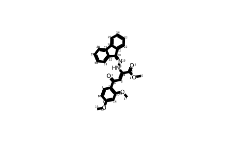 COC(=O)/C(=C/C(=O)c1ccc(OC)cc1OC)NN=C1c2ccccc2-c2ccccc21